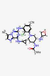 COC(=O)N[C@H]1CCN(c2cc(C#N)cc(Nc3nc(NC4CC4)c4ncc(C#N)n4n3)c2Cl)C[C@@H]1NC1COC1